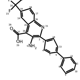 Nc1c(-c2ccc(-c3ccccc3)cc2)nc2ccc(C(F)(F)F)cc2c1C(=O)O